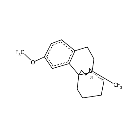 FC(F)(F)Oc1ccc2c(c1)C13CCCC[C@@]1(CC2)N(C(F)(F)F)CC3